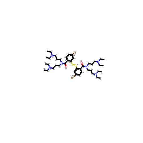 CCN(CC)CCCN(CCCN(CC)CC)C(=O)c1ccc(Br)cc1SSc1cc(Br)ccc1C(=O)N(CCCN(CC)CC)CCCN(CC)CC